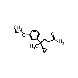 C=CCOc1cccc(C(C)(CCC(N)=O)C2CC2)c1